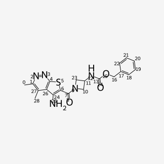 Cc1nnc2sc(C(=O)N3CC(NC(=O)OCc4ccccc4)C3)c(N)c2c1C